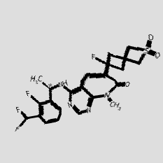 C[C@@H](Nc1ncnc2c1cc(C1(F)CC3(C1)CS(=O)(=O)C3)c(=O)n2C)c1cccc(C(F)F)c1F